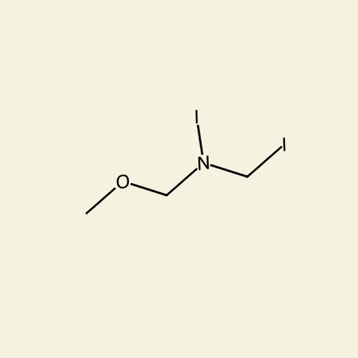 COCN(I)CI